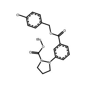 CC(C)(C)OC(=O)N1CCCN1c1cccc(C(=O)OCc2ccc(Cl)cc2)c1